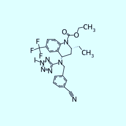 CCOC(=O)N1c2ccc(C(F)(F)F)cc2[C@@H](N(Cc2cccc(C#N)c2)c2nnn(I)n2)C[C@H]1CC